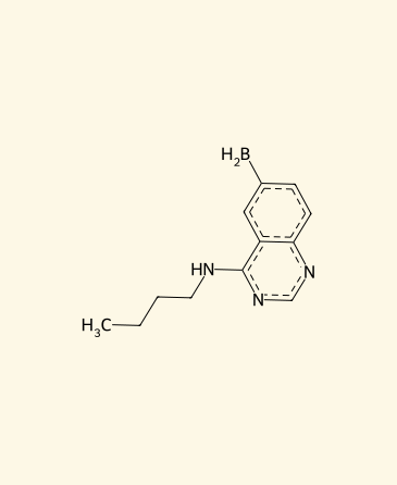 Bc1ccc2ncnc(NCCCC)c2c1